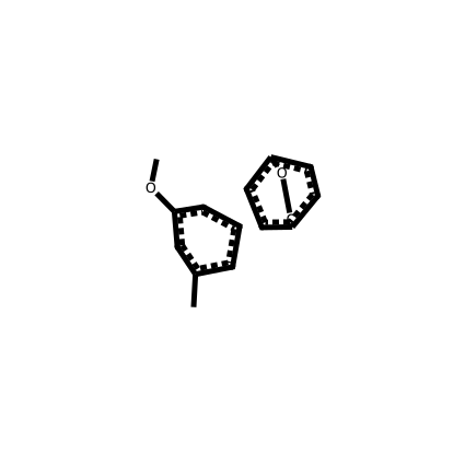 COc1cccc(C)c1.c1cc2ccc1CO2